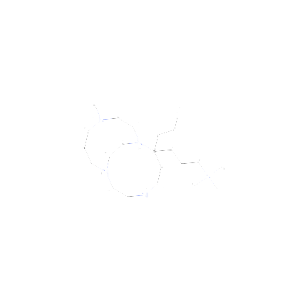 CCCCCCCCCCCCC1(CCC[N+](C)(C)C)CCNCCN2CCCN(C)CCN1CC2